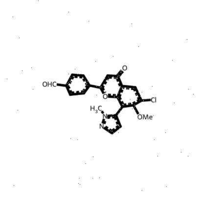 COc1c(Cl)cc2c(=O)cc(-c3ccc(C=O)cc3)oc2c1-c1ccnn1C